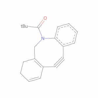 CC(C)(C)C(=O)N1CC2=C(C#Cc3ccccc31)C=CCC2